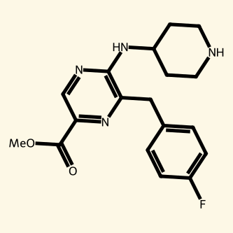 COC(=O)c1cnc(NC2CCNCC2)c(Cc2ccc(F)cc2)n1